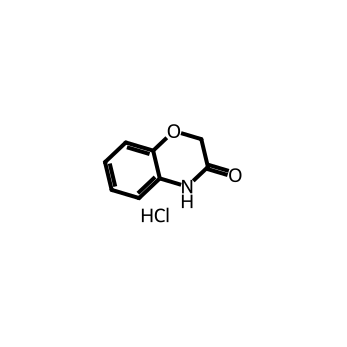 Cl.O=C1COc2ccccc2N1